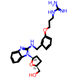 N=C(N)NCCCOc1cccc(CNc2nc3ccccc3n2[C@H]2CC[C@@H](CO)O2)c1